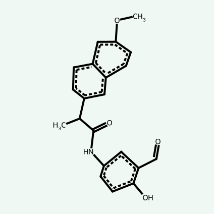 COc1ccc2cc(C(C)C(=O)Nc3ccc(O)c(C=O)c3)ccc2c1